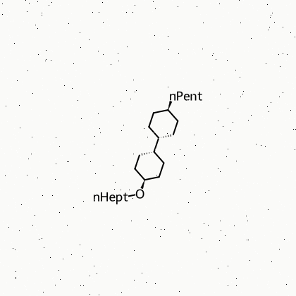 CCCCCCCO[C@H]1CC[C@H]([C@H]2CC[C@H](CCCCC)CC2)CC1